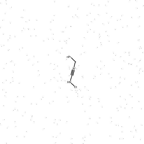 CCCC[N+]#CNCC